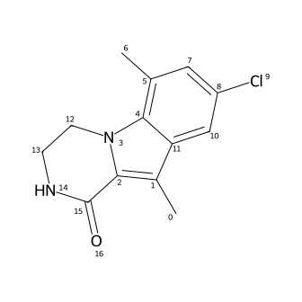 Cc1c2n(c3c(C)cc(Cl)cc13)CCNC2=O